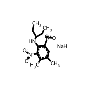 CCC(CC)Nc1c([N+](=O)[O-])cc(C)c(C)c1[N+](=O)[O-].[NaH]